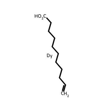 C=CCCCCCCCCC(=O)O.[Dy]